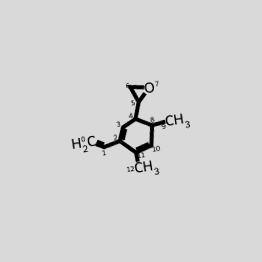 C=CC1=CC(C2CO2)C(C)C=C1C